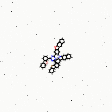 c1ccc2cc3c(cc2c1)oc1cc(-c2nc(-c4cccc5c4oc4ccccc45)nc(-c4cccc5c4sc4ccccc45)n2)c(-n2c4ccccc4c4cc5ccccc5cc42)cc13